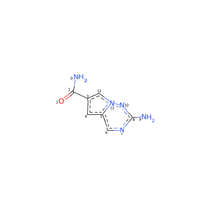 NC(=O)c1cc2cnc(N)nn2c1